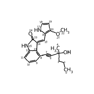 CCCC(C)(O)C#Cc1cccc2c1C(=Cc1[nH]ccc1OC)C(=O)N2